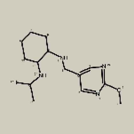 COc1ncc(CNC2CCCCC2NC(C)I)cn1